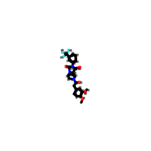 COc1ccc(CC(=O)N2CC3CC2=C2C(=O)N(c4cccc(C(F)(F)F)c4)C(=O)N23)cc1OC